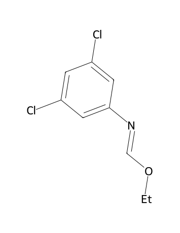 CCOC=Nc1cc(Cl)cc(Cl)c1